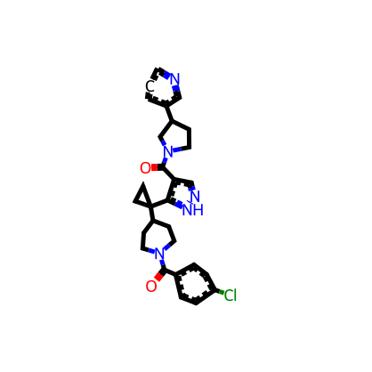 O=C(c1ccc(Cl)cc1)N1CCC(C2(c3[nH]ncc3C(=O)N3CCC(c4cccnc4)C3)CC2)CC1